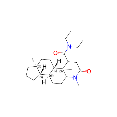 CCN(CC)C(=O)C1CC(=O)N(C)C2CC[C@H]3[C@@H]4CCC[C@@]4(C)CC[C@@H]3[C@@]12C